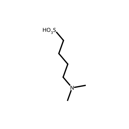 CN(C)CCCCS(=O)(=O)O